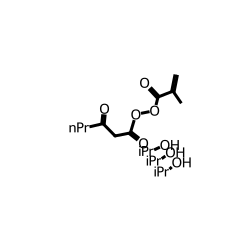 C=C(C)C(=O)OOC(=O)CC(=O)CCC.CC(C)O.CC(C)O.CC(C)O